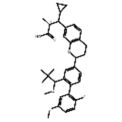 COc1ccc(F)c(-c2ccc(C3CCc4ccc(C(C5CC5)[C@H](C)C(=O)O)cc4O3)cc2C(OC)C(C)(C)C)c1